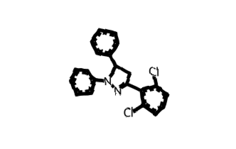 Clc1cccc(Cl)c1C1=NN(c2ccccc2)C(c2ccccc2)C1